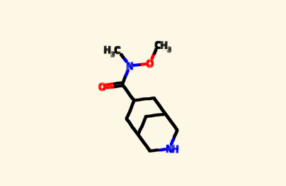 CON(C)C(=O)C1CC2CNCC(C2)C1